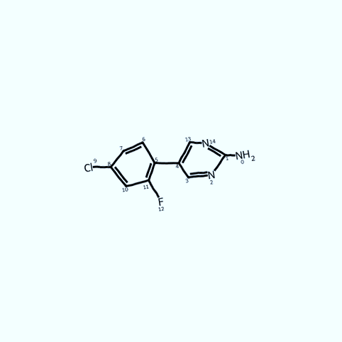 Nc1ncc(-c2ccc(Cl)cc2F)cn1